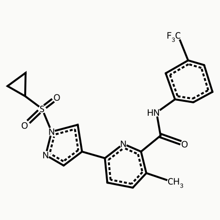 Cc1ccc(-c2cnn(S(=O)(=O)C3CC3)c2)nc1C(=O)Nc1cccc(C(F)(F)F)c1